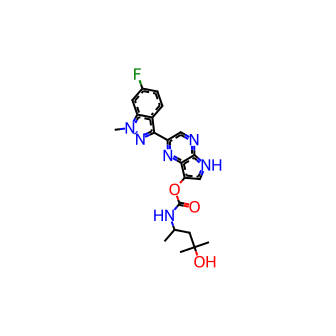 CC(CC(C)(C)O)NC(=O)Oc1c[nH]c2ncc(-c3nn(C)c4cc(F)ccc34)nc12